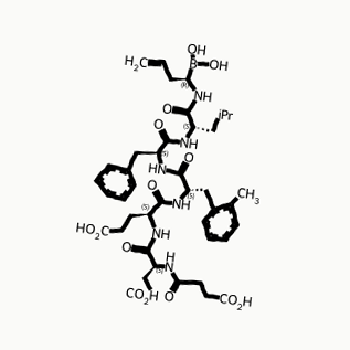 C=CC[C@H](NC(=O)[C@H](CC(C)C)NC(=O)[C@H](Cc1ccccc1)NC(=O)[C@H](Cc1ccccc1C)NC(=O)[C@H](CCC(=O)O)NC(=O)[C@H](CC(=O)O)NC(=O)CCC(=O)O)B(O)O